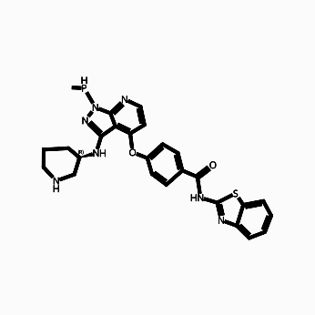 CPn1nc(N[C@@H]2CCCNC2)c2c(Oc3ccc(C(=O)Nc4nc5ccccc5s4)cc3)ccnc21